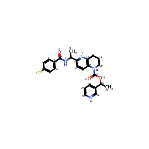 CC(NC(=O)c1ccc(F)cc1)c1ccc2c(n1)CCCN2C(=O)OC(C)c1cccnc1